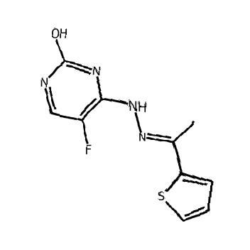 C/C(=N\Nc1nc(O)ncc1F)c1cccs1